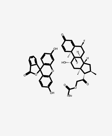 CCCCC(=O)OCC(=O)[C@H]1[C@H](C)C[C@H]2[C@@H]3C[C@H](F)C4=CC(=O)C=C[C@]4(C)[C@@]3(F)[C@@H](O)C[C@@]21C.O=C1OC2(c3ccc(O)cc3Oc3cc(O)ccc32)c2ccccc21